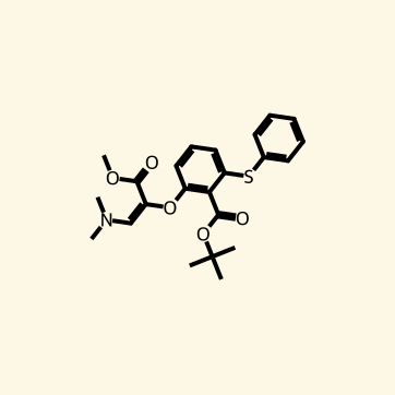 COC(=O)/C(=C\N(C)C)Oc1cccc(Sc2ccccc2)c1C(=O)OC(C)(C)C